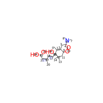 CC1=C(CC(=O)N(C)C)C(=O)CC(C)(C)[C@@]1(O)/C=C/C(C)=C\C(=O)O